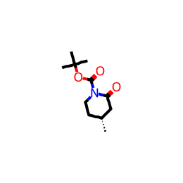 C[C@@H]1CCN(C(=O)OC(C)(C)C)C(=O)C1